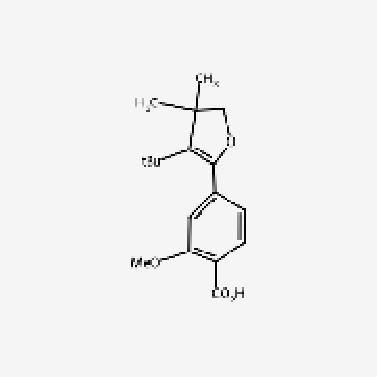 COc1cc(C2=C(C(C)(C)C)C(C)(C)CO2)ccc1C(=O)O